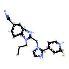 CCCn1c(Cn2ccnc2-c2ccnc(F)c2)nc2cc(C#N)ccc21